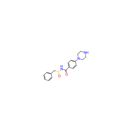 O=C(N[S+]([O-])Cc1ccccc1)c1ccc(N2CCNCC2)cc1